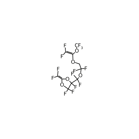 FC(F)=C(OCC(F)(F)OC(F)(F)C1(F)OC(=C(F)F)OC1(F)F)OC(F)(F)F